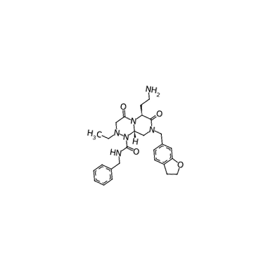 CCN1CC(=O)N2[C@@H](CCN)C(=O)N(Cc3ccc4c(c3)OCC4)C[C@@H]2N1C(=O)NCc1ccccc1